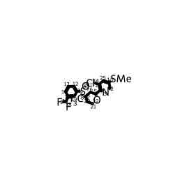 CSc1cnc(C2CC(C)([S+]([O-])c3cccc(C(F)F)c3)CCO2)c(Cl)c1